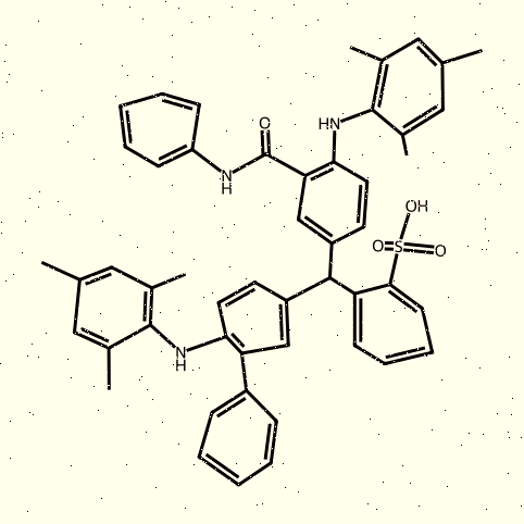 Cc1cc(C)c(Nc2ccc(C(c3ccc(Nc4c(C)cc(C)cc4C)c(-c4ccccc4)c3)c3ccccc3S(=O)(=O)O)cc2C(=O)Nc2ccccc2)c(C)c1